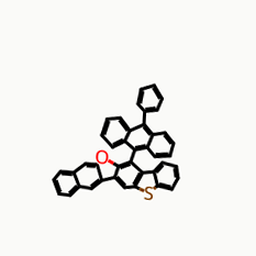 c1ccc(-c2c3ccccc3c(-c3c4oc5cc6ccccc6cc5c4cc4sc5ccccc5c34)c3ccccc23)cc1